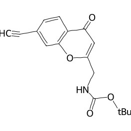 C#Cc1ccc2c(=O)cc(CNC(=O)OC(C)(C)C)oc2c1